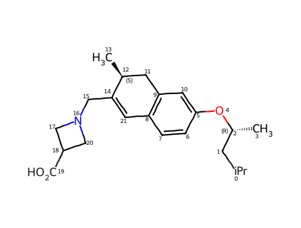 CC(C)C[C@@H](C)Oc1ccc2c(c1)C[C@H](C)C(CN1CC(C(=O)O)C1)=C2